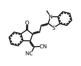 CN1/C(=C/C=C2\C(=O)c3ccccc3C2=C(C#N)C#N)Sc2ccccc21